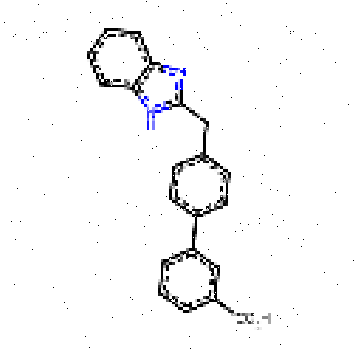 O=C(O)c1cccc(-c2ccc(Cc3nc4ccccc4[nH]3)cc2)c1